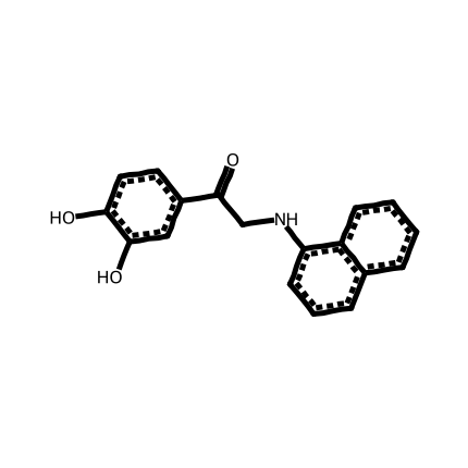 O=C(CNc1cccc2ccccc12)c1ccc(O)c(O)c1